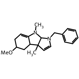 COC1CC=C2C(C1)C1(C)C=CN(Cc3ccccc3)C1N2C